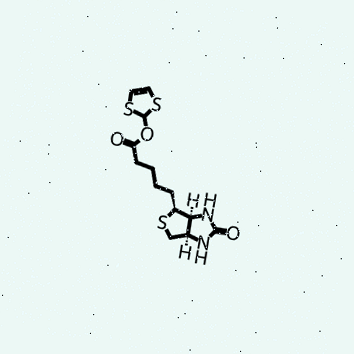 O=C1N[C@H]2[C@H](CS[C@H]2CCCCC(=O)OC2SC=CS2)N1